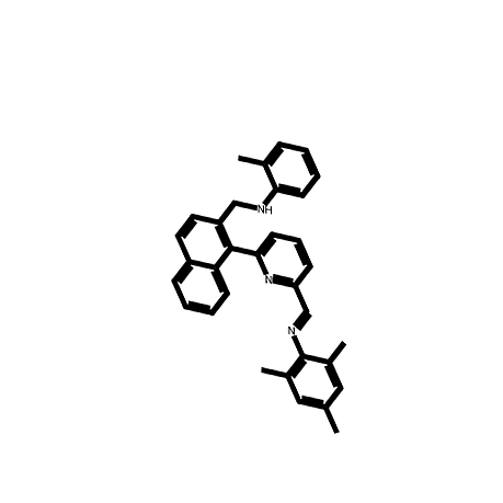 Cc1cc(C)c(N=Cc2cccc(-c3c(CNc4ccccc4C)ccc4ccccc34)n2)c(C)c1